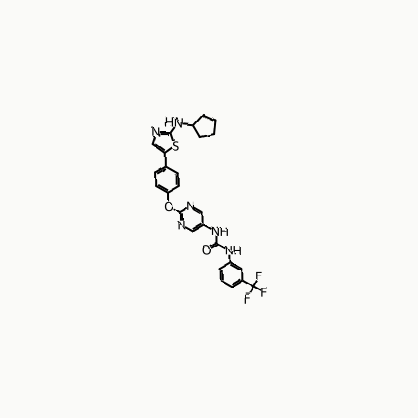 O=C(Nc1cnc(Oc2ccc(-c3cnc(NC4CCCC4)s3)cc2)nc1)Nc1cccc(C(F)(F)F)c1